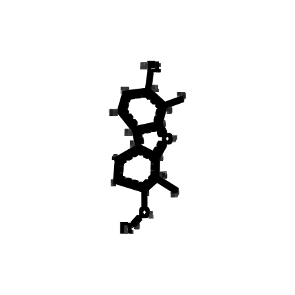 CCOc1ccc2c(oc3c(C)c(CC)ccc32)c1C